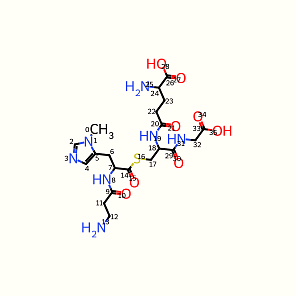 Cn1cncc1CC(NC(=O)CCN)C(=O)SCC(NC(=O)CCC(N)C(=O)O)C(=O)NCC(=O)O